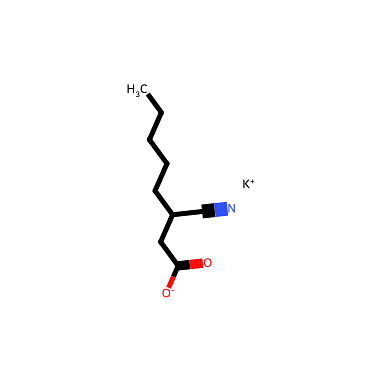 CCCCCC(C#N)CC(=O)[O-].[K+]